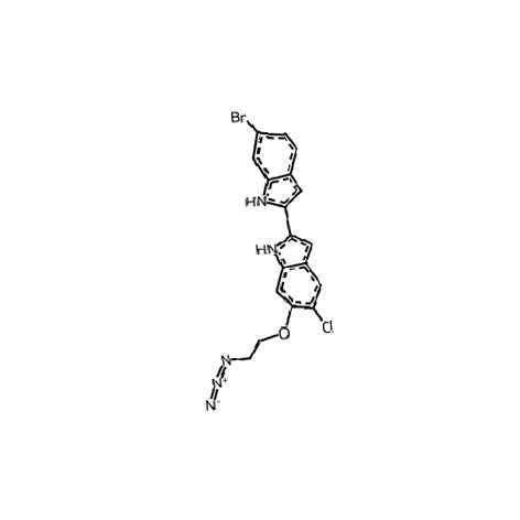 [N-]=[N+]=NCCOc1cc2[nH]c(-c3cc4ccc(Br)cc4[nH]3)cc2cc1Cl